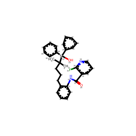 CC(C)(CCCc1ccccc1NC(=O)c1cccnc1F)[Si](O)(c1ccccc1)c1ccccc1